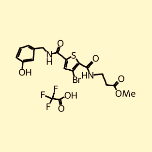 COC(=O)CCNC(=O)c1sc(C(=O)NCc2cccc(O)c2)cc1Br.O=C(O)C(F)(F)F